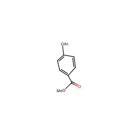 [CH2]C(=O)Oc1ccc(C(=O)OC)cc1